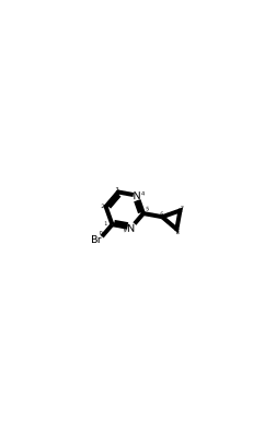 Brc1[c]cnc(C2CC2)n1